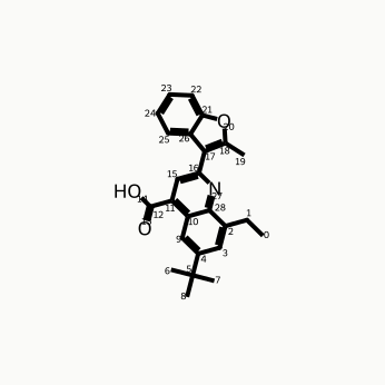 CCc1cc(C(C)(C)C)cc2c(C(=O)O)cc(-c3c(C)oc4ccccc34)nc12